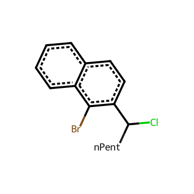 CCCCCC(Cl)c1ccc2ccccc2c1Br